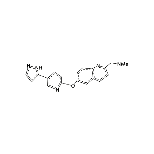 CNCc1ccc2cc(Oc3ccc(-c4ccn[nH]4)cn3)ccc2n1